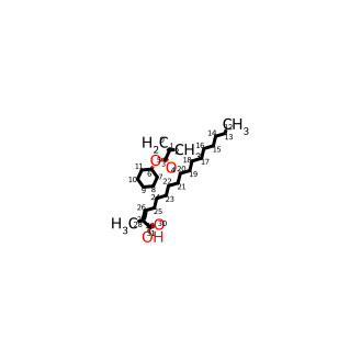 C=C(C)C(=O)OC1CCCCC1.CCCCCCCCCCCCCCC=C(C)C(=O)O